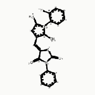 Cc1cc(C=C2SC(=O)N(c3ccccc3)C2=O)c(C)n1-c1ccccc1F